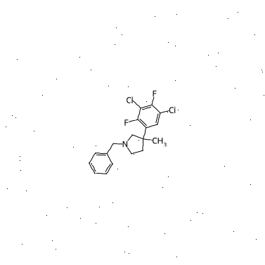 CC1(c2cc(Cl)c(F)c(Cl)c2F)CCN(Cc2ccccc2)C1